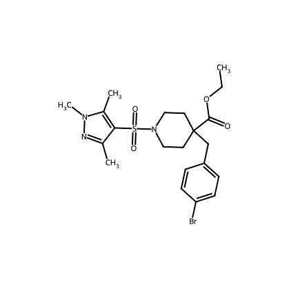 CCOC(=O)C1(Cc2ccc(Br)cc2)CCN(S(=O)(=O)c2c(C)nn(C)c2C)CC1